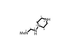 CNCNN1CCNCC1